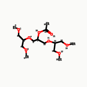 CCOCC(COCC)OCC(COC(COCC)COCC)OC(=O)CC